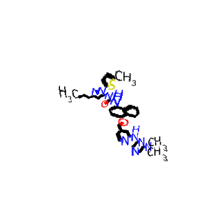 CCCCc1cc(NC(=O)Nc2ccc(OCc3ccnc(Nc4cncc(N(C)C)n4)c3)c3ccccc23)n(-c2ccc(C)s2)n1